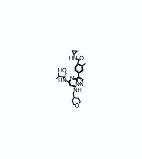 Cc1cc(-c2cnn3c(NCC4CCOCC4)cc(N[C@@H](CO)C(C)C)nc23)ccc1C(=O)NC1CC1